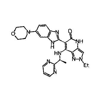 CCn1cc2[nH]c(=O)c(-c3nc4ccc(N5CCOCC5)cc4[nH]3)c(N[C@@H](C)c3ncccn3)c2n1